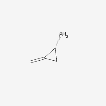 C=C1C[C@H]1P